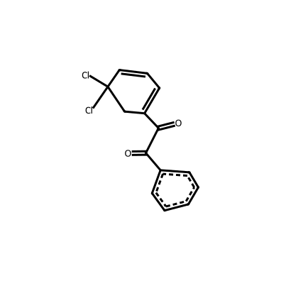 O=C(C(=O)c1ccccc1)C1=CC=CC(Cl)(Cl)C1